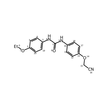 CCOc1ccc(NC(=O)Nc2ccc(OCC#N)cc2)cc1